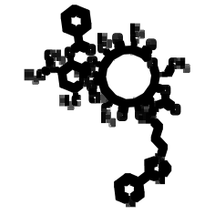 CC[C@H]1OC(=O)[C@H](C)C(=O)[C@H](C)[C@@H](OC2O[C@H](C)C[C@H](N(C)C)[C@H]2OC(=O)c2ccccc2)[C@@](C)(OC)C[C@@H](C)C(=O)[C@H](C)[C@@H]2C1OC(=O)N2NCCCn1cnc(-c2cccnc2)c1